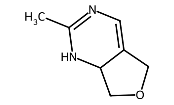 CC1=NC=C2COCC2N1